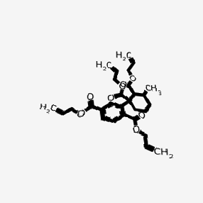 C=CCOC(=O)c1ccc(C(=O)OCC=C)c(C2(C(=O)OCC=C)CCCC(C)C2C(=O)OCC=C)c1